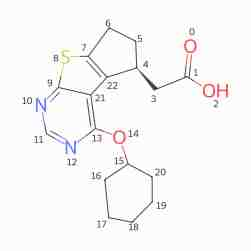 O=C(O)C[C@@H]1CCc2sc3ncnc(OC4CCCCC4)c3c21